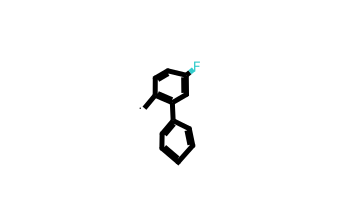 [CH2]c1ccc(F)cc1-c1ccccc1